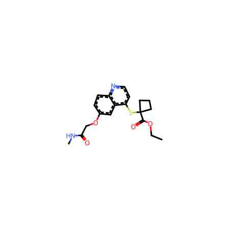 CCOC(=O)C1(Sc2ccnc3ccc(OCC(=O)NC)cc23)CCC1